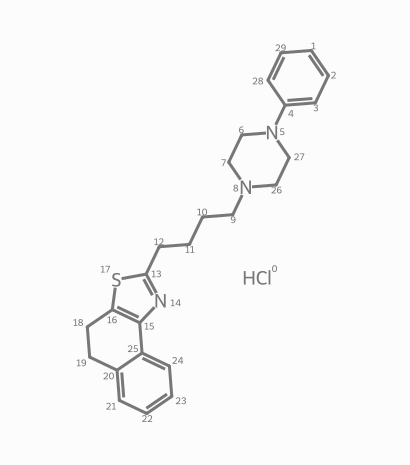 Cl.c1ccc(N2CCN(CCCCc3nc4c(s3)CCc3ccccc3-4)CC2)cc1